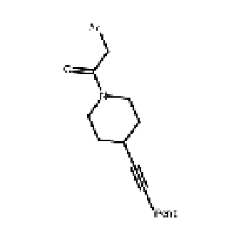 CCCC(C)C#CC1CCN(C(=O)CC(C)=O)CC1